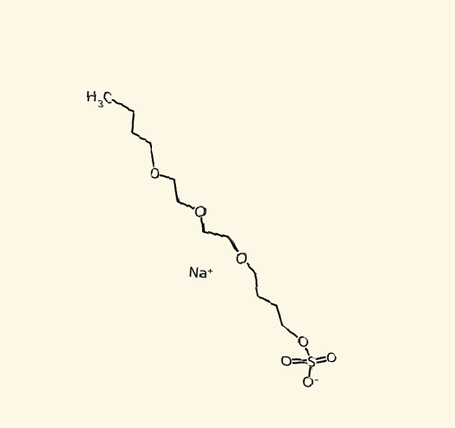 CCCCOCCOCCOCCCCOS(=O)(=O)[O-].[Na+]